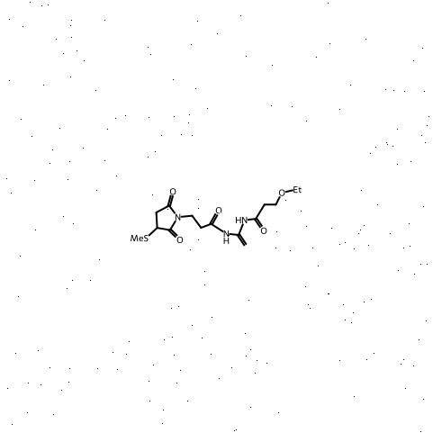 C=C(NC(=O)CCOCC)NC(=O)CCN1C(=O)CC(SC)C1=O